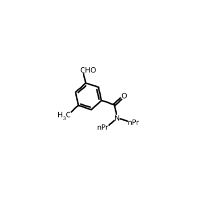 CCCN(CCC)C(=O)c1cc(C)cc(C=O)c1